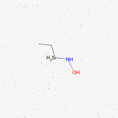 CC[SiH2]NO